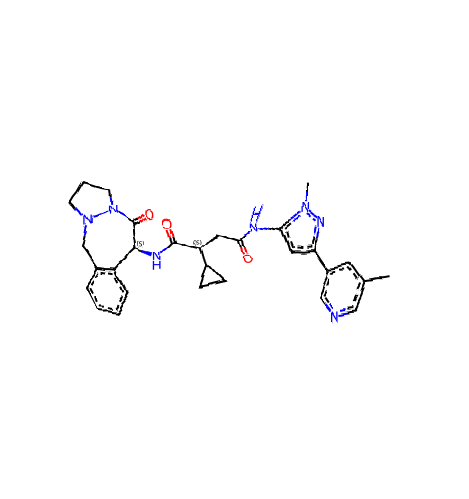 Cc1cncc(-c2cc(NC(=O)C[C@H](C(=O)N[C@@H]3C(=O)N4CCCN4Cc4ccccc43)C3CC3)n(C)n2)c1